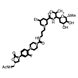 CCC1CC(C(=O)NC(C(C)Cl)C2C[C@@H](O)C(O)[C@@H](SC)O2)CN(CCCNC(=O)N2CCN(c3ccc(N4C[C@H](CNC(C)=O)OC4=O)cc3F)CC2)C1